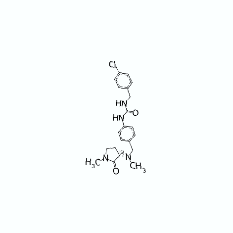 CN1CC[C@H](N(C)Cc2ccc(NC(=O)NCc3ccc(Cl)cc3)cc2)C1=O